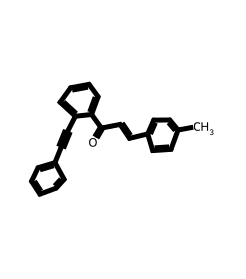 Cc1ccc(/C=C/C(=O)c2ccccc2C#Cc2ccccc2)cc1